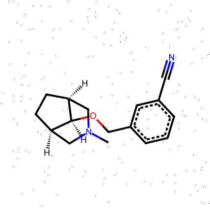 CN1C[C@H]2CC[C@@H](C1)[C@H]2OCc1cccc(C#N)c1